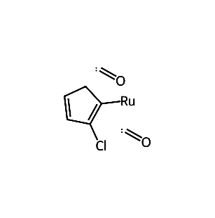 ClC1=[C]([Ru])CC=C1.[C]=O.[C]=O